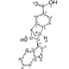 O=C(O)c1ccc2c(c1)C1C[C@@H]2[C@@H](c2coc3ccccc23)C1O